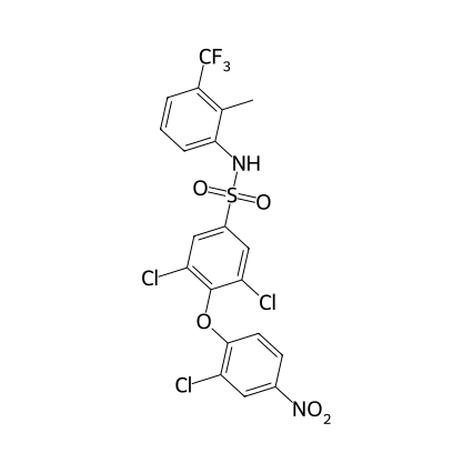 Cc1c(NS(=O)(=O)c2cc(Cl)c(Oc3ccc([N+](=O)[O-])cc3Cl)c(Cl)c2)cccc1C(F)(F)F